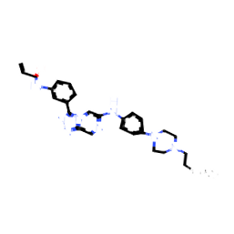 C=CC(=O)Nc1cccc(-c2nnc3cnc(Nc4ccc(N5CCN(CCOC)CC5)cc4)cn23)c1